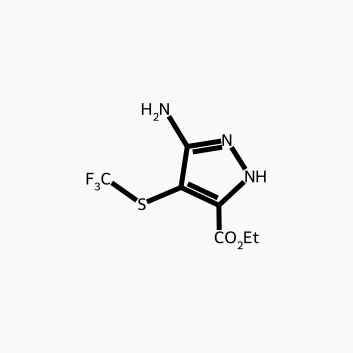 CCOC(=O)c1[nH]nc(N)c1SC(F)(F)F